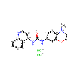 CN1CCOc2cc(NC(=O)Nc3ccnc4ccccc34)ccc21.Cl.Cl